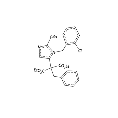 CCCCc1ncc(C(Cc2ccccc2)(C(=O)OCC)C(=O)OCC)n1Cc1ccccc1Cl